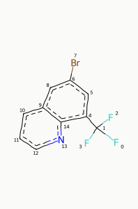 FC(F)(F)c1cc(Br)cc2cccnc12